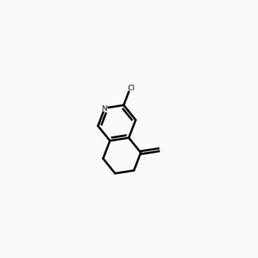 C=C1CCCc2cnc(Cl)cc21